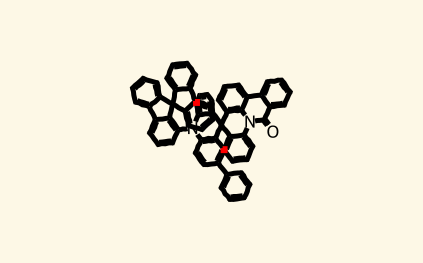 O=c1c2ccccc2c2cccc3c2n1-c1ccccc1C31c2ccccc2N(c2cccc3c2C2(c4ccccc4-c4ccccc42)c2ccccc2-3)c2ccc(-c3ccccc3)cc21